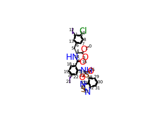 COC(=O)[C@H](Cc1ccc(Cl)c(I)c1)NC(=O)c1ccc(I)cc1NS(=O)(=O)c1cccc2nsnc12